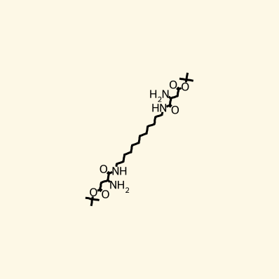 CC(C)(C)OC(=O)CC(N)C(=O)NCCCCCCCCCCCCNC(=O)C(N)CC(=O)OC(C)(C)C